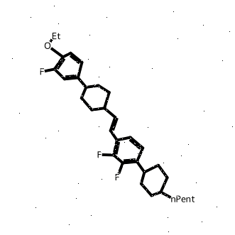 CCCCCC1CCC(c2ccc(/C=C/C3CCC(c4ccc(OCC)c(F)c4)CC3)c(F)c2F)CC1